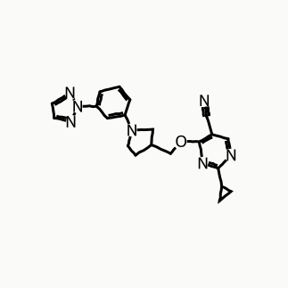 N#Cc1cnc(C2CC2)nc1OCC1CCN(c2cccc(-n3nccn3)c2)C1